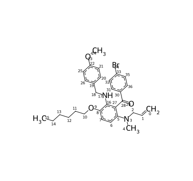 C=CCN(C)c1ccc(OCCCCCC)c(NCc2ccc(OC)cc2)c1C(=O)c1ccc(Br)cc1